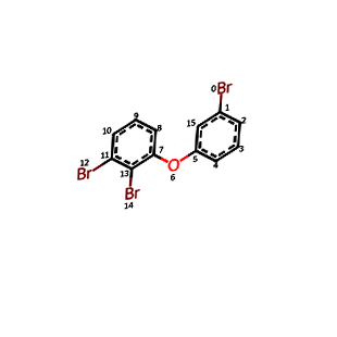 Brc1cccc(Oc2cccc(Br)c2Br)c1